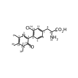 Cc1nc(-c2ccc(CC(N)C(=O)O)cc2Cl)c(=O)n(C)c1C